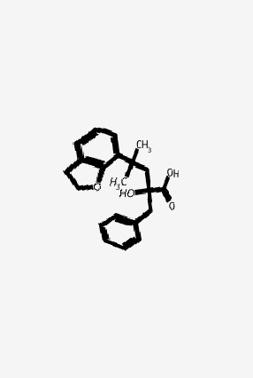 CC(C)(CC(O)(Cc1ccccc1)C(=O)O)c1cccc2c1OCC2